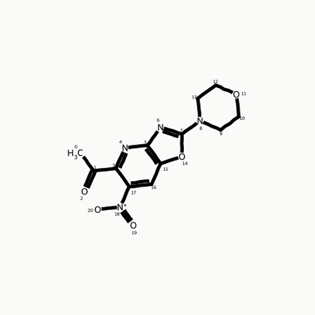 CC(=O)c1nc2nc(N3CCOCC3)oc2cc1[N+](=O)[O-]